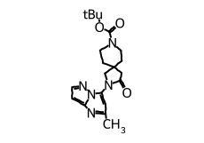 Cc1cc(N2CC3(CCN(C(=O)OC(C)(C)C)CC3)CC2=O)n2nccc2n1